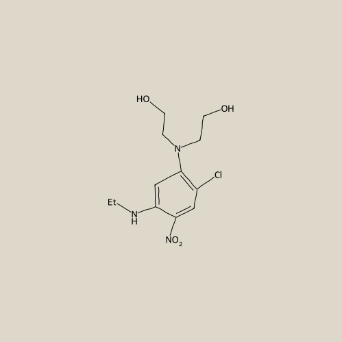 CCNc1cc(N(CCO)CCO)c(Cl)cc1[N+](=O)[O-]